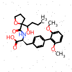 CCCC(O)C1(C(=O)N[C@@H](Cc2ccc(-c3c(OC)cccc3OC)cc2)C(=O)O)CCCO1